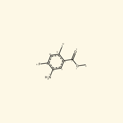 COC(=O)c1cc(N)c(F)cc1I